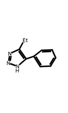 CCc1nn[nH]c1-c1ccccc1